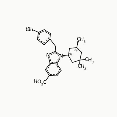 C[C@@H]1C[C@H](n2c(Cc3ccc(C(C)(C)C)cc3)nc3cc(C(=O)O)ccc32)CC(C)(C)C1